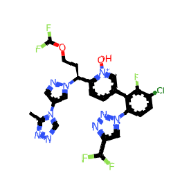 Cc1nncn1-c1cnn([C@@H](CCOC(F)F)c2ccc(-c3c(-n4cc(C(F)F)nn4)ccc(Cl)c3F)c[n+]2O)c1